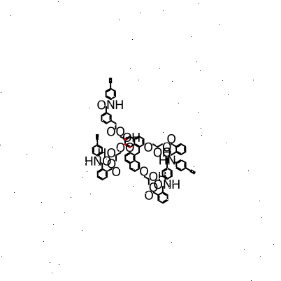 C#Cc1ccc(NC(=O)c2cccc(CC(=O)OCC(O)COc3ccc4ccc(OCC(O)COC(=O)c5ccccc5C(=O)Nc5ccc(C#C)cc5)cc4c3Cc3c(OCC(O)COC(=O)c4ccccc4C(=O)Nc4ccc(C#C)cc4)ccc4ccc(OCC(O)COC(=O)c5ccccc5C(=O)Nc5ccc(C#C)cc5)cc34)c2)cc1